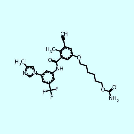 C#Cc1cc(OCCCCCCOC(N)=O)cc(C(=O)Nc2cc(-n3cnc(C)c3)cc(C(F)(F)F)c2)c1C